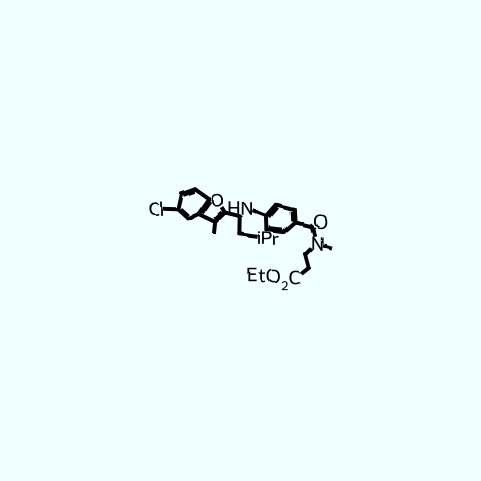 CCOC(=O)CCN(C)C(=O)c1ccc(NC(CC(C)C)c2oc3ccc(Cl)cc3c2C)cc1